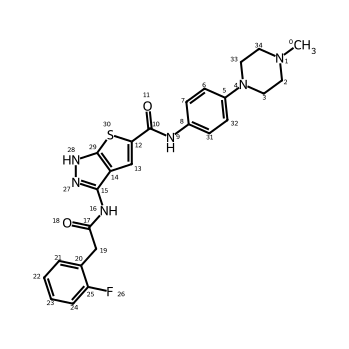 CN1CCN(c2ccc(NC(=O)c3cc4c(NC(=O)Cc5ccccc5F)n[nH]c4s3)cc2)CC1